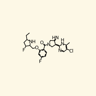 CCC1CC(F)C(COc2cc(F)ccc2C(=O)N2CC(=N)/C(=C3/N=CC(Cl)=C(C)N3)C2)N1